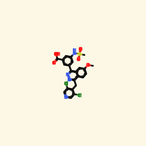 COc1ccc2c(Cc3c(Cl)cncc3Cl)nnc(-c3cc(NS(C)(=O)=O)cc(C(=O)O)c3)c2c1